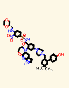 CC1(C)CCC(CN2CCN(c3ccc(C(=O)NS(=O)(=O)c4ccc(NC[C@H]5COCCO5)c([N+](=O)[O-])c4)c(N4CCCOc5nc6[nH]ccc6cc54)c3)CC2)=C(c2ccc(O)cc2)C1